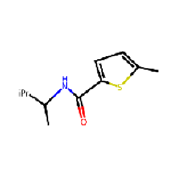 Cc1ccc(C(=O)NC(C)C(C)C)s1